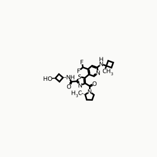 C[C@H]1CCCN1C(=O)c1nc(C(=O)N[C@H]2C[C@H](O)C2)sc1-c1cnc(NC2(C)CCC2)cc1C(F)F